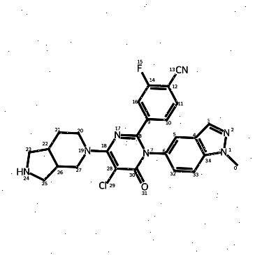 Cn1ncc2cc(-n3c(-c4ccc(C#N)c(F)c4)nc(N4CCC5CNCC5C4)c(Cl)c3=O)ccc21